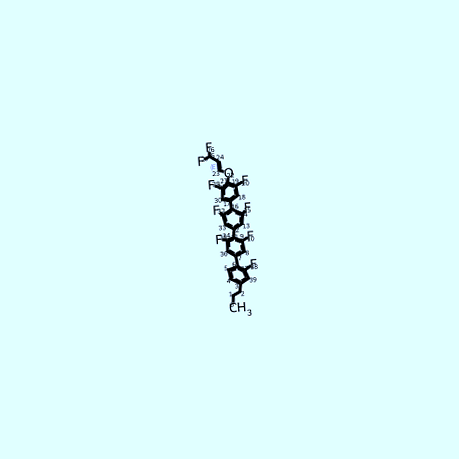 CCCc1ccc(-c2cc(F)c(-c3cc(F)c(-c4cc(F)c(O/C=C/C(F)F)c(F)c4)c(F)c3)c(F)c2)c(F)c1